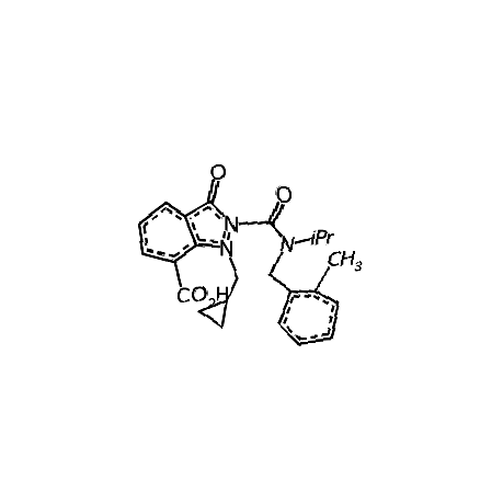 Cc1ccccc1CN(C(=O)n1c(=O)c2cccc(C(=O)O)c2n1CC1CC1)C(C)C